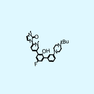 CN1CC(c2cc(F)cc(-c3cccc(N4CCN(C(C)(C)C)CC4)c3)c2O)=CC=C1n1ccn(C)c1=O